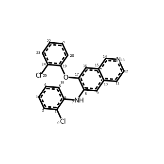 Clc1ccccc1Nc1cc2ccncc2cc1Oc1ccccc1Cl